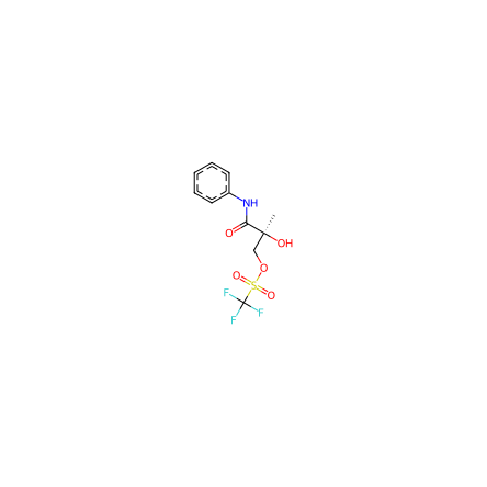 C[C@](O)(COS(=O)(=O)C(F)(F)F)C(=O)Nc1ccccc1